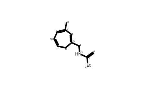 C=C(CC)NCC1=CC(C)=CC=CC1